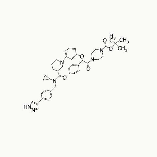 CC(C)(C)OC(=O)N1CCN(C(=O)C(Oc2cccc(N3CCC[C@@H](C(=O)N(Cc4ccc(-c5cn[nH]c5)cc4)C4CC4)C3)c2)c2ccccc2)CC1